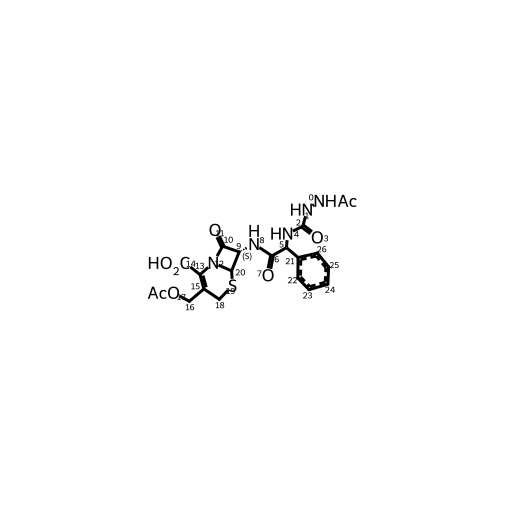 CC(=O)NNC(=O)NC(C(=O)N[C@H]1C(=O)N2C(C(=O)O)=C(COC(C)=O)CSC12)c1ccccc1